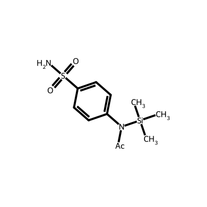 CC(=O)N(c1ccc(S(N)(=O)=O)cc1)[Si](C)(C)C